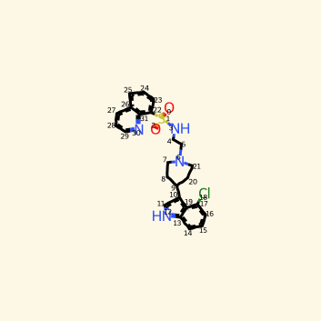 O=S(=O)(NCCN1CCC(c2c[nH]c3cccc(Cl)c23)CC1)c1cccc2cccnc12